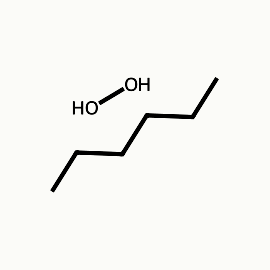 CCCCCC.OO